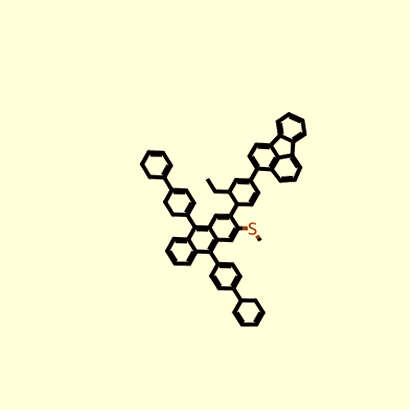 CCC1C=C(c2ccc3c4c(cccc24)-c2ccccc2-3)C=CC1c1cc2c(C3=CC=C(C4=CC=CCC4)CC3)c3ccccc3c(-c3ccc(C4C=CC=CC4)cc3)c2cc1SC